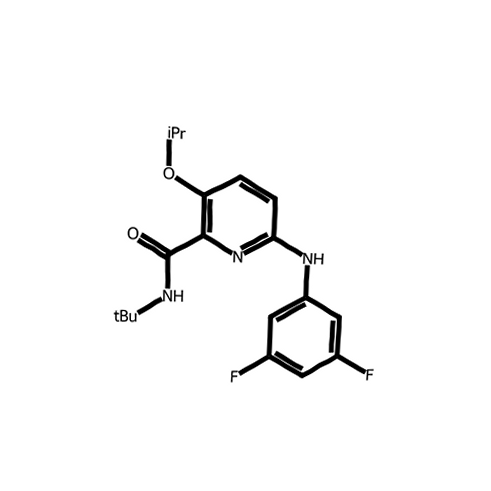 CC(C)Oc1ccc(Nc2cc(F)cc(F)c2)nc1C(=O)NC(C)(C)C